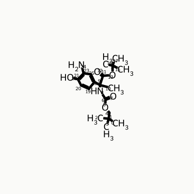 CC(C)(C)COC(=O)NC(C)(C(=O)OC(C)(C)C)c1ccc(O)c(N)c1